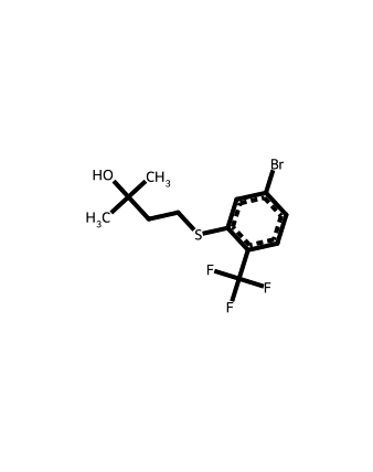 CC(C)(O)CCSc1cc(Br)ccc1C(F)(F)F